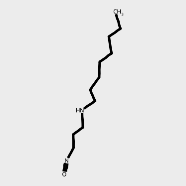 CCCCCCCCNCCCN=O